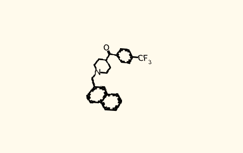 O=C(c1ccc(C(F)(F)F)cc1)C1CCN(Cc2ccc3ccccc3c2)CC1